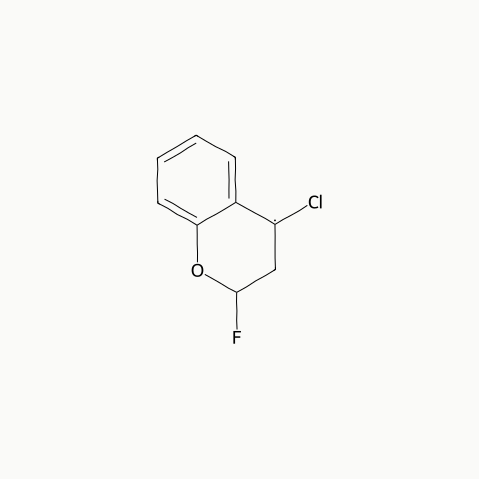 FC1C[C](Cl)c2ccccc2O1